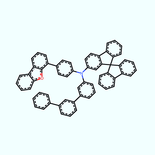 c1ccc(-c2cccc(-c3cccc(N(c4ccc(-c5cccc6c5oc5ccccc56)cc4)c4ccc5c(c4)C4(c6ccccc6-c6ccccc64)c4ccccc4-5)c3)c2)cc1